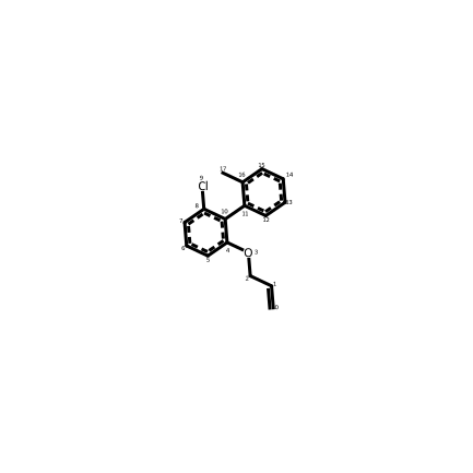 C=CCOc1cccc(Cl)c1-c1ccccc1C